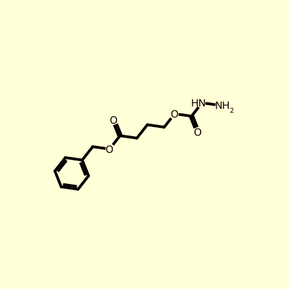 NNC(=O)OCCCC(=O)OCc1ccccc1